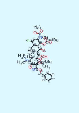 CN(C(=O)OC(C)(C)C)c1cc(F)c2c(c1OC(=O)OC(C)(C)C)C(=O)C1=C(O)C3(O[Si](C)(C)C(C)(C)C)C(=O)c4c(OCc5ccccc5)noc4[C@@H](N(C)C)[C@@H]3C[C@@H]1C2